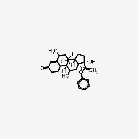 C=C(Oc1ccccc1)[C@@]1(O)CC[C@H]2[C@@H]3CC(C)C4=CC(=O)CC[C@]4(C)[C@H]3C(O)C[C@@]21C